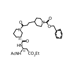 CCOC(=O)C[C@@H](NC(C)=O)NC(=O)[C@@H]1CCCN(C(=O)CCC2CCN(C(=O)OCc3ccccc3)CC2)C1